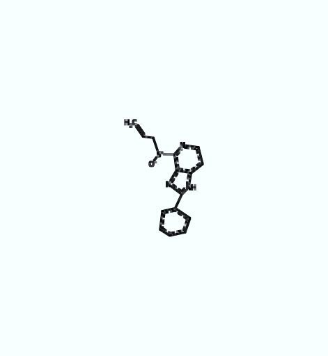 C=CC[S+]([O-])c1nccc2[nH]c(-c3ccccc3)nc12